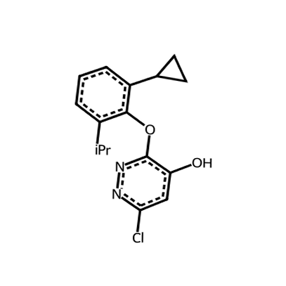 CC(C)c1cccc(C2CC2)c1Oc1nnc(Cl)cc1O